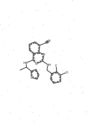 CC(Nc1nc(NCc2cccc(Cl)c2F)nc2c(C#N)cccc12)c1cccs1